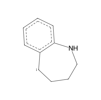 [C]1CCCNc2ccccc21